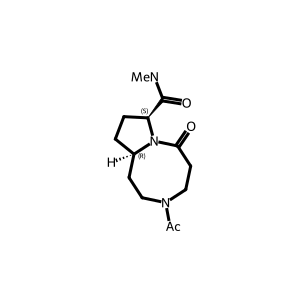 CNC(=O)[C@@H]1CC[C@@H]2CCN(C(C)=O)CCC(=O)N21